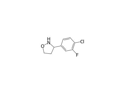 Fc1cc(C2CCON2)ccc1Cl